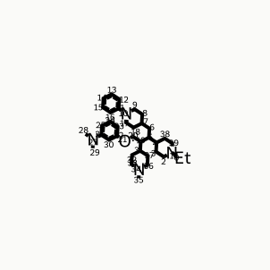 CCN1CCC(C(CC2CCN(c3ccccc3)CC2)C([CH]Oc2cccc(N(C)C)c2)C2CCN(C)CC2)CC1